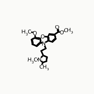 COC(=O)c1ccc2c(c1)Oc1c(OC)cccc1N2CCC1CCC(C)N1C